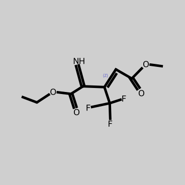 CCOC(=O)C(=N)/C(=C/C(=O)OC)C(F)(F)F